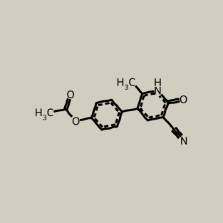 CC(=O)Oc1ccc(-c2cc(C#N)c(=O)[nH]c2C)cc1